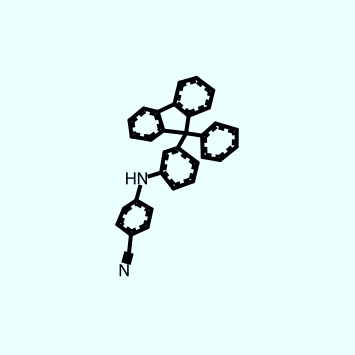 N#Cc1ccc(Nc2cccc(C3(c4ccccc4)c4ccccc4-c4ccccc43)c2)cc1